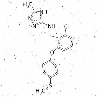 CSc1ccc(Oc2cccc(Cl)c2CNc2nnc(C)[nH]2)cc1